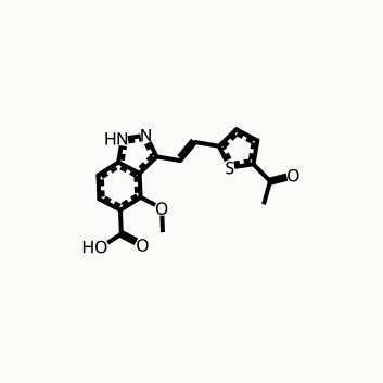 COc1c(C(=O)O)ccc2[nH]nc(C=Cc3ccc(C(C)=O)s3)c12